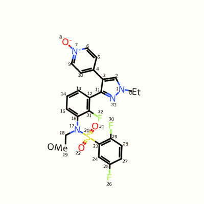 CCn1cc(-c2cc[n+]([O-])cc2)c(-c2cccc(N(COC)S(=O)(=O)c3cc(F)ccc3F)c2F)n1